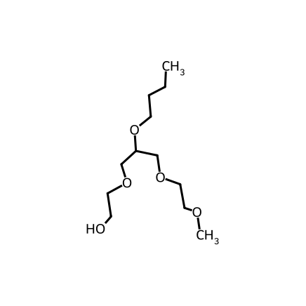 CCCCOC(COCCO)COCCOC